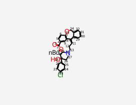 CCCCOC(=O)c1ccc2c(c1)C(=CCCN1CCC(O)(c3ccc(Cl)cc3)CC1)c1ccccc1CO2